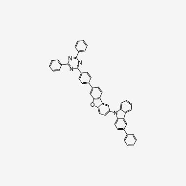 c1ccc(-c2ccc3c(c2)c2ccccc2n3-c2ccc3oc4cc(-c5ccc(-c6nc(-c7ccccc7)nc(-c7ccccc7)n6)cc5)ccc4c3c2)cc1